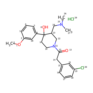 COc1cccc(C2(O)CCN(C(=O)Cc3cccc(Cl)c3)CC2CN(C)C)c1.Cl